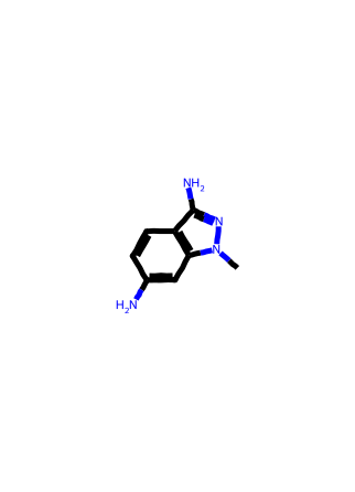 Cn1nc(N)c2ccc(N)cc21